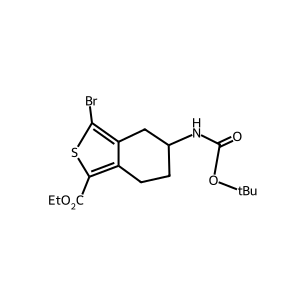 CCOC(=O)c1sc(Br)c2c1CCC(NC(=O)OC(C)(C)C)C2